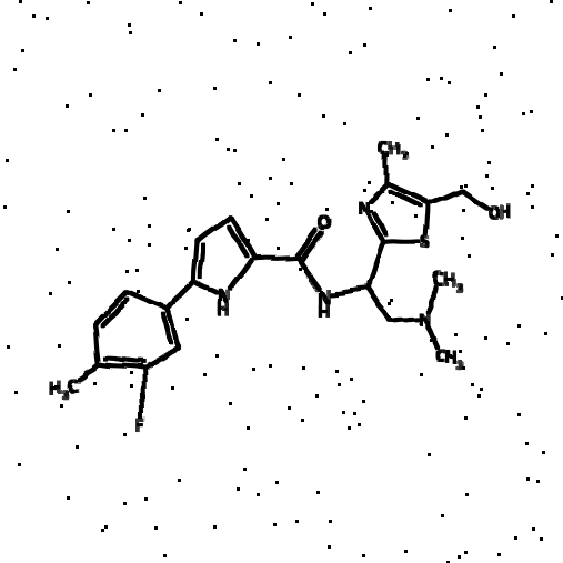 Cc1ccc(-c2ccc(C(=O)NC(CN(C)C)c3nc(C)c(CO)s3)[nH]2)cc1F